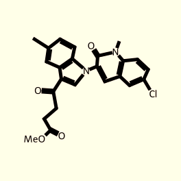 COC(=O)CCC(=O)c1cn(-c2cc3cc(Cl)ccc3n(C)c2=O)c2ccc(C)cc12